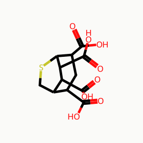 O=C(O)C1CC(C(=O)O)C2SCC1C(C(=O)O)C2C(=O)O